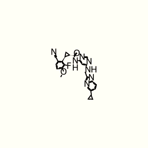 COc1ccc(C#N)c([C@H]2C[C@@H]2C(=O)Nc2cc(NCc3cn4cc(C5CC5)ccc4n3)ncn2)c1F